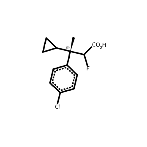 C[C@@](c1ccc(Cl)cc1)(C1CC1)C(F)C(=O)O